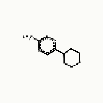 O=C(O)c1cnc(C2CCCCC2)cn1